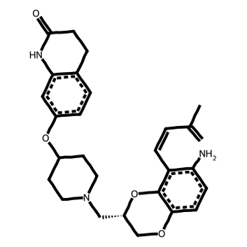 C=C(C)/C=C\c1c(N)ccc2c1O[C@@H](CN1CCC(Oc3ccc4c(c3)NC(=O)CC4)CC1)CO2